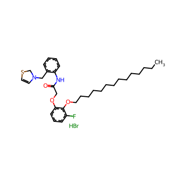 Br.CCCCCCCCCCCCCCOc1c(F)cccc1OCC(=O)Nc1ccccc1CN1C=CSC1